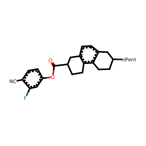 CCCCCC1CCc2c(ccc3c2CCC(C(=O)Oc2ccc(C#N)c(F)c2)C3)C1